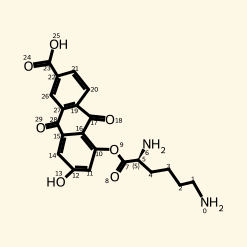 NCCCC[C@H](N)C(=O)Oc1cc(O)cc2c1C(=O)c1ccc(C(=O)O)cc1C2=O